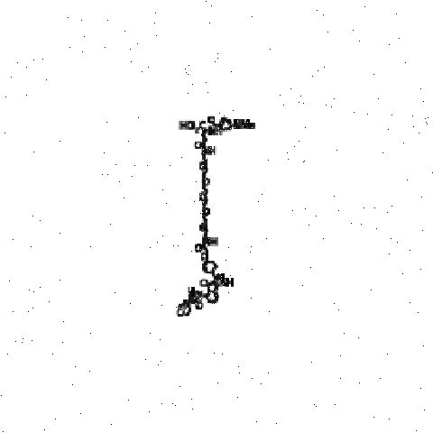 CNc1ccc(C(=O)N[C@@H](CCC(=O)NCCOCCOCCOCCOCCOCCNC(=O)COc2ccc(-c3n[nH]c4c3C(=O)c3c(NC(=O)NN5CCOCC5)cccc3-4)cc2)C(=O)O)cc1